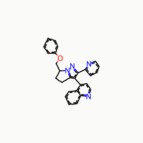 c1ccc(OCC2CCc3c(-c4ccnc5ccccc45)c(-c4ccccn4)nn32)cc1